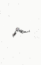 C=N/C(=C\c1c(C(C)C)ccc(N2C[C@H](CS(C)(=O)=O)[C@H]2C)c1C)Nc1ccnc(N2CC[C@H](O)C[C@@H]2C)n1